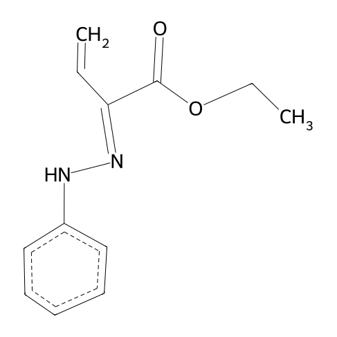 C=C/C(=N\Nc1ccccc1)C(=O)OCC